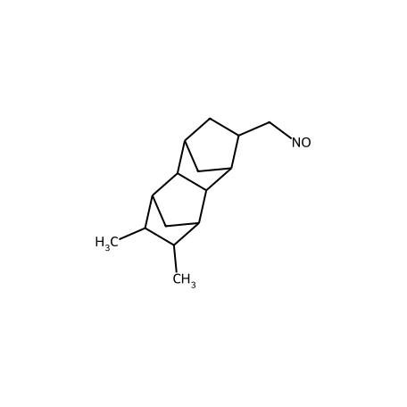 CC1C(C)C2CC1C1C3CC(CN=O)C(C3)C21